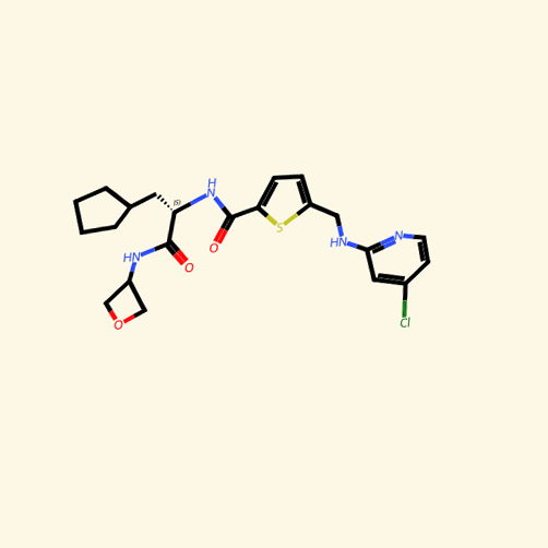 O=C(N[C@@H](CC1CCCC1)C(=O)NC1COC1)c1ccc(CNc2cc(Cl)ccn2)s1